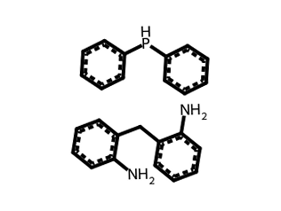 Nc1ccccc1Cc1ccccc1N.c1ccc(Pc2ccccc2)cc1